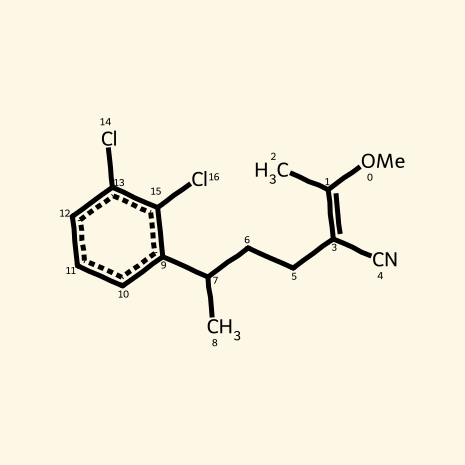 COC(C)=C(C#N)CCC(C)c1cccc(Cl)c1Cl